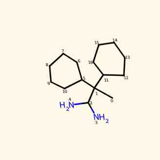 CC(C(N)N)(C1CCCCC1)C1CCCCC1